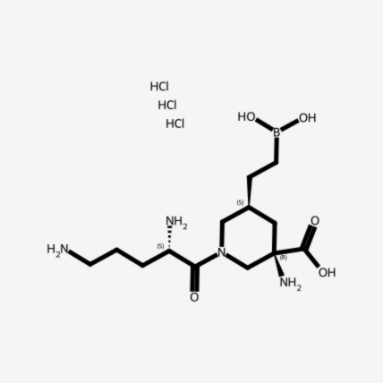 Cl.Cl.Cl.NCCC[C@H](N)C(=O)N1C[C@@H](CCB(O)O)C[C@](N)(C(=O)O)C1